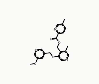 COc1cncc(COc2cncc(C)c2COC(=O)c2ccc(C)cn2)c1